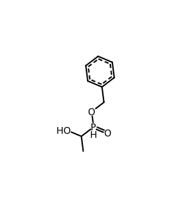 CC(O)[PH](=O)OCc1ccccc1